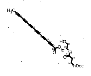 CC#CC#CC#CC#CC#CC#CC(=O)OC[C@H](CO)OC(=O)CCCCCCCCCCCC